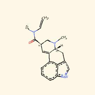 C=CN(CC)C(=O)[C@@H]1C=C2c3cccc4[nH]cc(c34)C[C@H]2N(C)C1